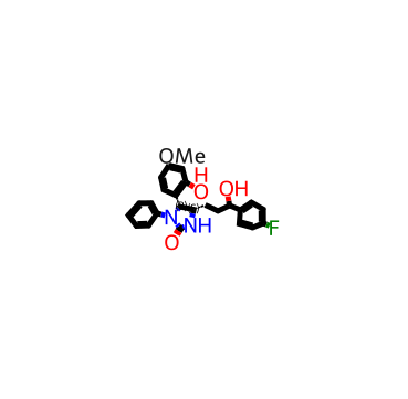 COc1ccc([C@@H]2[C@H](CCC(O)c3ccc(F)cc3)NC(=O)N2c2ccccc2)c(O)c1